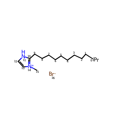 CC(C)CCCCCCCCCc1[nH]cc[n+]1C.[Br-]